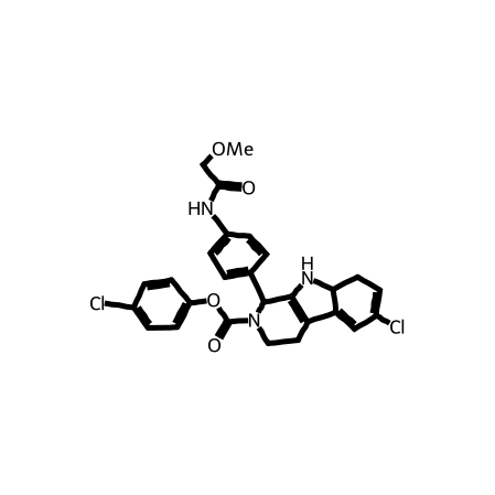 COCC(=O)Nc1ccc(C2C3=C(CCN2C(=O)Oc2ccc(Cl)cc2)C2=CC(Cl)=CCC2N3)cc1